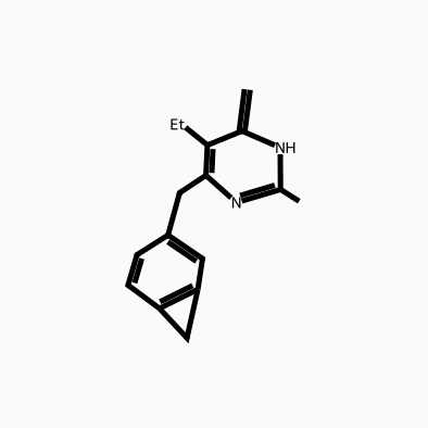 C=C1NC(C)=NC(Cc2ccc3c(c2)C3)=C1CC